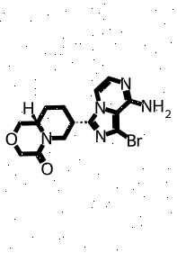 Nc1nccn2c([C@H]3CC[C@H]4COCC(=O)N4C3)nc(Br)c12